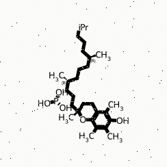 Cc1c(C)c2c(c(C)c1O)CC[C@@](C)(CCC[C@H](C)CCC[C@H](C)CCCC(C)C)O2.OP(O)O